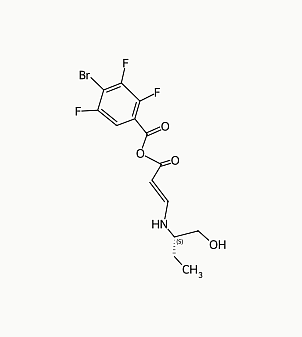 CC[C@@H](CO)NC=CC(=O)OC(=O)c1cc(F)c(Br)c(F)c1F